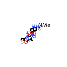 CNC(=O)Nc1ccc2c(c1)CC[C@@]21OC(=O)N(CC(=O)N2Cc3ccsc3OC[C@H]2C2CC2)C1=O